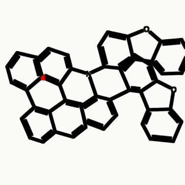 c1ccc(-c2cccc3cccc(-c4ccccc4N(c4ccc5oc6ccccc6c5c4)c4ccccc4-c4cccc5oc6ccccc6c45)c23)cc1